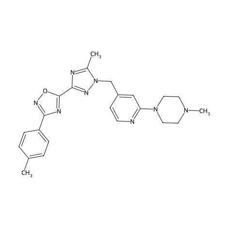 Cc1ccc(-c2noc(-c3nc(C)n(Cc4ccnc(N5CCN(C)CC5)c4)n3)n2)cc1